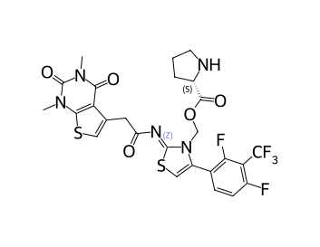 Cn1c(=O)c2c(CC(=O)/N=c3\scc(-c4ccc(F)c(C(F)(F)F)c4F)n3COC(=O)[C@@H]3CCCN3)csc2n(C)c1=O